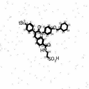 CC(C)(C)c1ccc(C(=Cc2ccc(C(=O)NCCS(=O)(=O)O)cc2)C(=O)Nc2ccc(OCC3CCCCC3)cc2)cc1